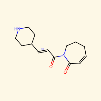 O=C1C=CCCCN1C(=O)/C=C/C1CCNCC1